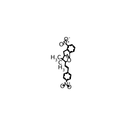 CC1(C)C(C=Cc2ccc([N+](=O)[O-])cc2)ON2c3cccc([N+](=O)[O-])c3CC21